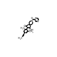 CC#Cc1cc(C)c(C2=C(O)CC3(CCN(C(=O)c4cnccn4)CC3)CC2=O)c(C)c1